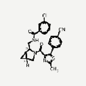 Cc1nc(C(=O)N2C[C@@H]3CC3[C@H]2CNC(=O)c2cccc(Cl)c2)c(-c2ccc(C#N)cc2)s1